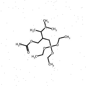 CCO[Si](CC(COC(N)=O)C(C)N(C)C)(OCC)OCC